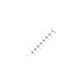 OC(F)(F)C(F)(F)C(F)(F)C(F)(F)C(F)(F)C(F)(F)C(F)(F)C(F)Cl